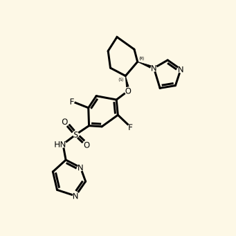 O=S(=O)(Nc1ccncn1)c1cc(F)c(O[C@H]2CCCC[C@H]2n2ccnc2)cc1F